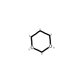 [CH]1CCO[CH]O1